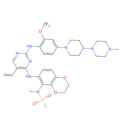 C=Cc1cnc(Nc2ccc(N3CCC(N4CCN(C)CC4)CC3)cc2OC(F)(F)F)nc1Nc1ccc2c(c1N(C)S(C)(=O)=O)OCCO2